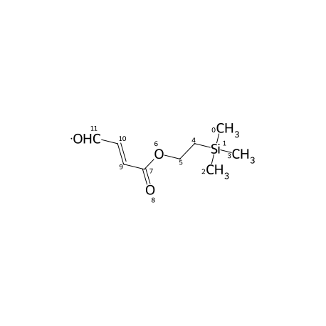 C[Si](C)(C)CCOC(=O)C=C[C]=O